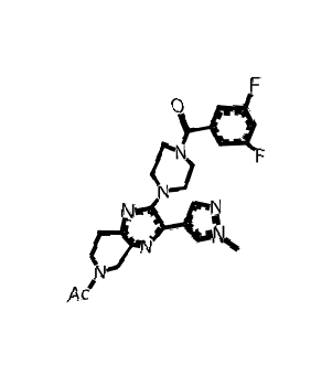 CC(=O)N1CCc2nc(N3CCN(C(=O)c4cc(F)cc(F)c4)CC3)c(-c3cnn(C)c3)nc2C1